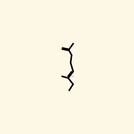 [CH]=C(C)CC/C=C(\C)CC